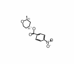 C[C@H]1C[C@H](OC(=O)c2ccc([N+](=O)[O-])cc2)CCO1